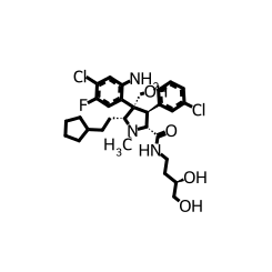 CN1[C@@H](C(=O)NCC[C@@H](O)CO)[C@H](c2cccc(Cl)c2)[C@](CO)(c2cc(F)c(Cl)cc2N)[C@H]1CCC1CCCC1